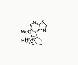 COC1NCC2CCC1(c1ncnc3scnc13)N2C(=O)O